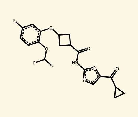 O=C(Nc1nc(C(=O)C2CC2)cs1)C1CC(Oc2cc(F)ccc2OC(F)F)C1